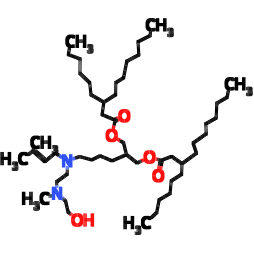 CCCCCCCCC(CCCCCC)CC(=O)OCC(CCCCN(CC=C(C)C)CCN(C)CCO)COC(=O)CC(CCCCCC)CCCCCCCC